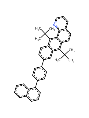 CC(C)(C)c1c2cc(-c3ccc(-c4cccc5ccccc45)cc3)ccc2c(C(C)(C)C)c2c1ccc1cccnc12